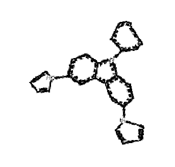 C1=C[SH](c2ccc3c(c2)c2cc([SH]4C=CC=C4)ccc2n3-c2ccccc2)C=C1